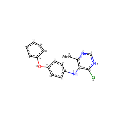 CNc1ncnc(Cl)c1Nc1ccc(Oc2ccccc2)cc1